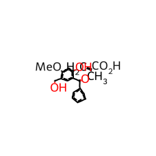 C=C(C)C(=O)O.COc1cc(O)c(C(=O)c2ccccc2)cc1CO